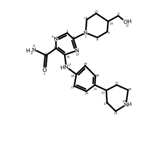 NC(=O)c1ncc(N2CCC(CO)CC2)nc1Nc1ccc(C2CCNCC2)cc1